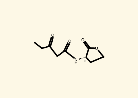 CCC(=O)CC(=O)N[C@H]1CCOC1=O